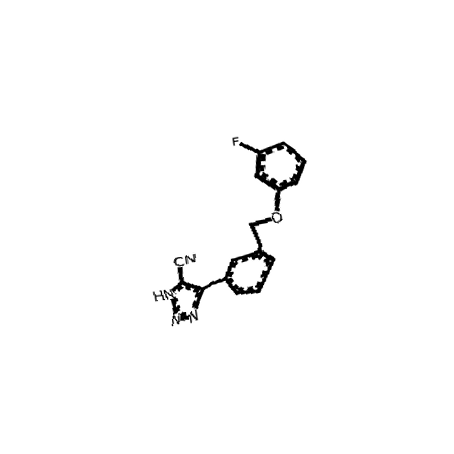 N#Cc1[nH]nnc1-c1cccc(COc2cccc(F)c2)c1